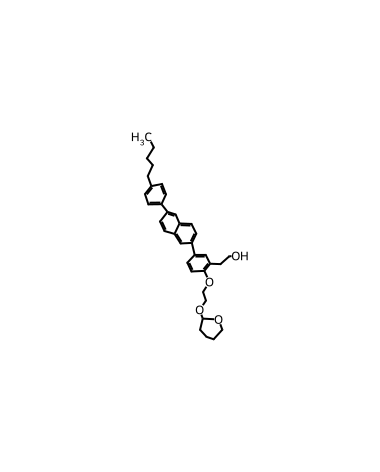 CCCCCc1ccc(-c2ccc3cc(-c4ccc(OCCOC5CCCCO5)c(CCO)c4)ccc3c2)cc1